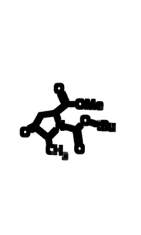 COC(=O)C1CC(=O)C(C)N1C(=O)OC(C)(C)C